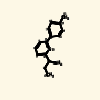 CCC(N)c1cccc(-c2ccc(C)cc2)n1